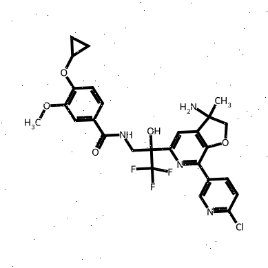 COc1cc(C(=O)NCC(O)(c2cc3c(c(-c4ccc(Cl)nc4)n2)OCC3(C)N)C(F)(F)F)ccc1OC1CC1